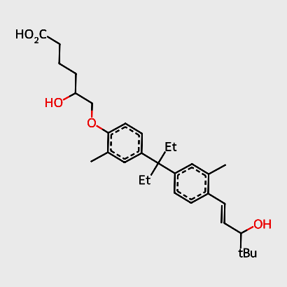 CCC(CC)(c1ccc(C=CC(O)C(C)(C)C)c(C)c1)c1ccc(OCC(O)CCCC(=O)O)c(C)c1